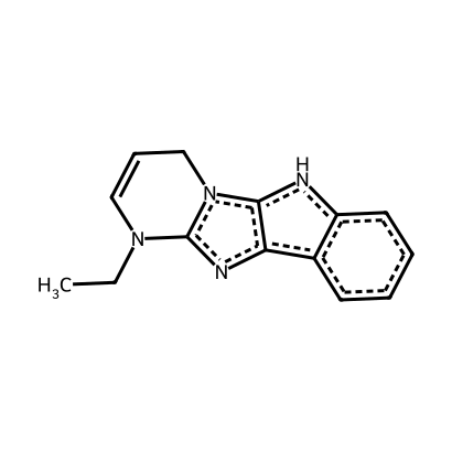 CCN1C=CCn2c1nc1c3ccccc3[nH]c12